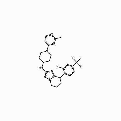 Cc1cc(N2CCC(Nc3nc4n(n3)CCCC4c3ccc(C(F)(F)F)cc3F)CC2)ncn1